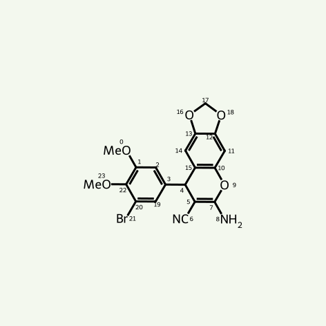 COc1cc(C2C(C#N)=C(N)Oc3cc4c(cc32)OCO4)cc(Br)c1OC